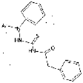 CC(=O)N(NC(=S)NC(=O)Cc1ccccc1)c1ccccc1